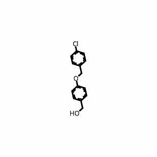 OCc1ccc(OCc2ccc(Cl)cc2)cc1